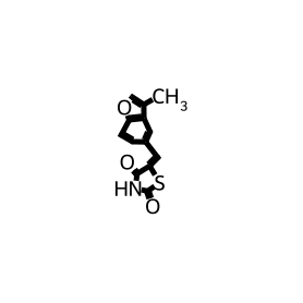 Cc1coc2ccc(C=C3SC(=O)NC3=O)cc12